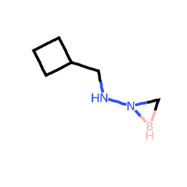 B1CN1NCC1CCC1